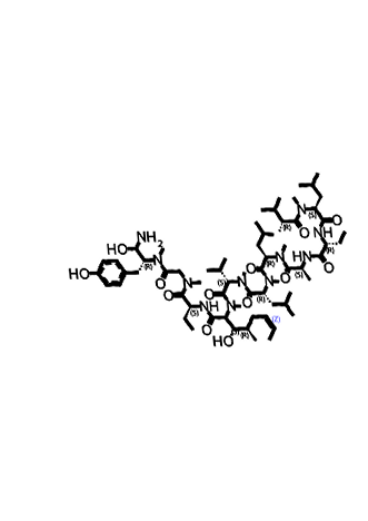 C/C=C\C[C@@H](C)[C@H](O)C(C(=O)N[C@@H](CC)C(=O)N(C)CC(=O)N(C)[C@H](Cc1ccc(O)cc1)C(N)O)N(C)C(=O)[C@H](C(C)C)N(C)C(=O)[C@@H](CC(C)C)N(C)C(=O)[C@@H](CC(C)C)N(C)C(=O)[C@H](C)NC(=O)[C@@H](CC)NC(=O)[C@H](CC(C)C)N(C)C(=O)[C@H](C)C(C)C